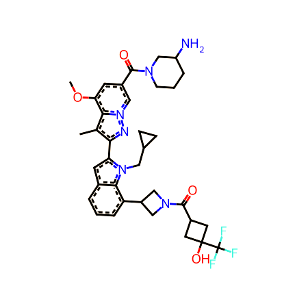 COc1cc(C(=O)N2CCCC(N)C2)cn2nc(-c3cc4cccc(C5CN(C(=O)C6CC(O)(C(F)(F)F)C6)C5)c4n3CC3CC3)c(C)c12